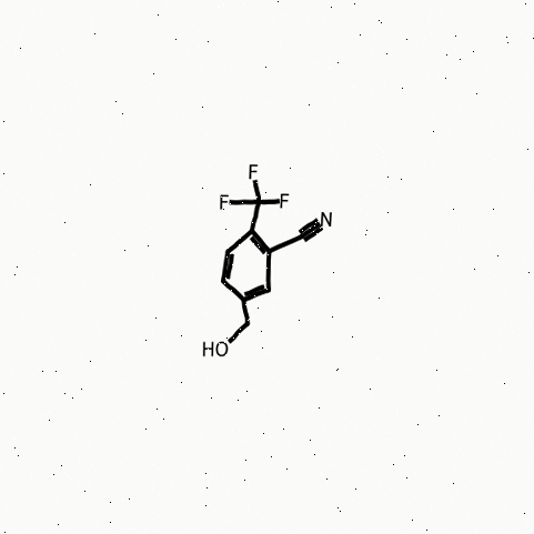 N#Cc1cc(CO)ccc1C(F)(F)F